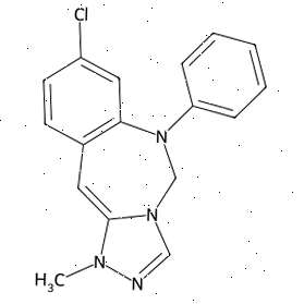 CN1N=CN2CN(c3ccccc3)c3cc(Cl)ccc3C=C21